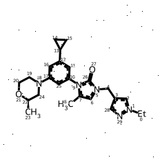 CCn1cc(Cn2cc(C)n(-c3cc(C4CC4)cc(N4CCO[C@H](C)C4)c3)c2=O)cn1